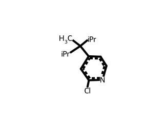 CC(C)C(C)(c1ccnc(Cl)c1)C(C)C